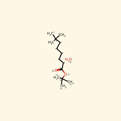 CC(C)(C)CCCCCC(=O)OC(C)(C)C.O